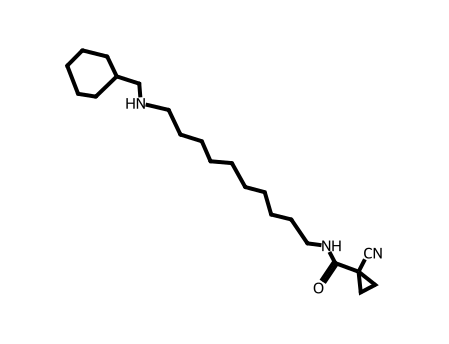 N#CC1(C(=O)NCCCCCCCCCCNCC2CCCCC2)CC1